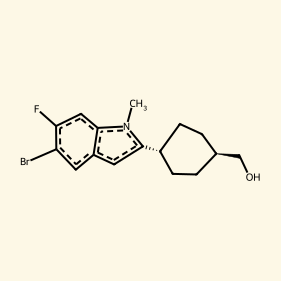 Cn1c2cc(F)c(Br)cc2cc1[C@H]1CC[C@H](CO)CC1